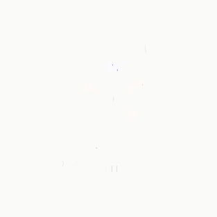 CNP1(=O)OCCC(C)(C)CO1